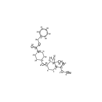 CC(C)(C)OC(=O)N1CC[C@@H](OC2CCN(C(=O)OCc3ccccc3)CC2)CC1(C)C